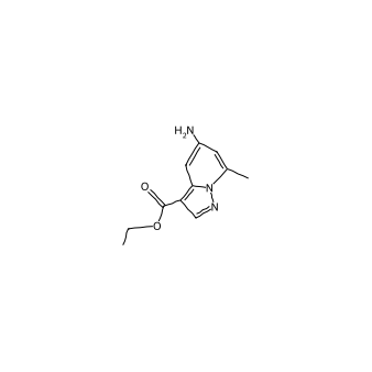 CCOC(=O)c1cnn2c(C)cc(N)cc12